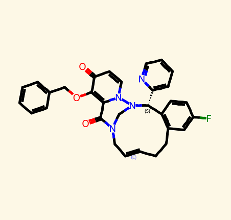 O=C1c2c(OCc3ccccc3)c(=O)ccn2N2CN1C/C=C/CCc1cc(F)ccc1[C@H]2c1ccccn1